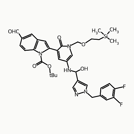 CC(C)(C)OC(=O)n1c(-c2cc(NC(O)c3cnn(Cc4ccc(F)c(F)c4)c3)cn(COCC[Si](C)(C)C)c2=O)cc2cc(C=O)ccc21